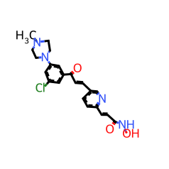 CN1CCN(c2cc(Cl)cc(C(=O)/C=C/c3ccc(/C=C/C(=O)NO)nc3)c2)CC1